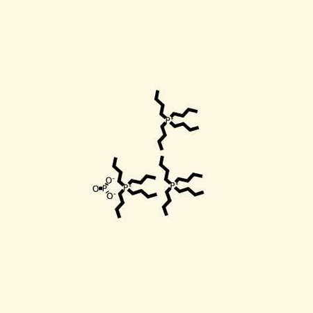 CCCC[P+](CCCC)(CCCC)CCCC.CCCC[P+](CCCC)(CCCC)CCCC.CCCC[P+](CCCC)(CCCC)CCCC.[O-]P([O-])[O-]